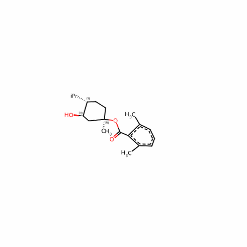 Cc1cccc(C)c1C(=O)O[C@]1(C)CC[C@@H](C(C)C)[C@H](O)C1